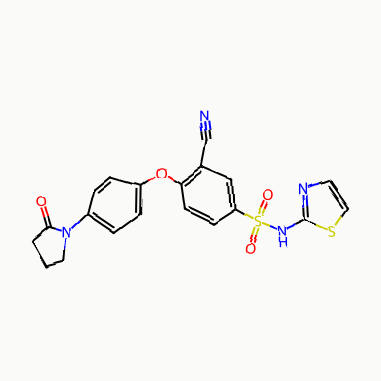 N#Cc1cc(S(=O)(=O)Nc2nccs2)ccc1Oc1ccc(N2CCCC2=O)cc1